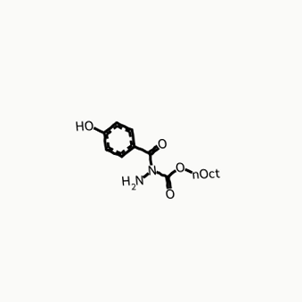 CCCCCCCCOC(=O)N(N)C(=O)c1ccc(O)cc1